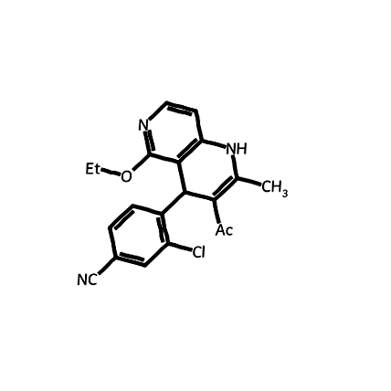 CCOc1nccc2c1C(c1ccc(C#N)cc1Cl)C(C(C)=O)=C(C)N2